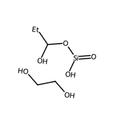 CCC(O)O[Si](=O)O.OCCO